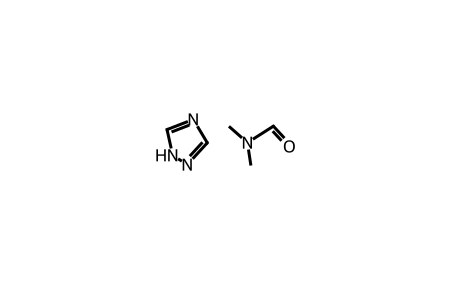 CN(C)C=O.c1nc[nH]n1